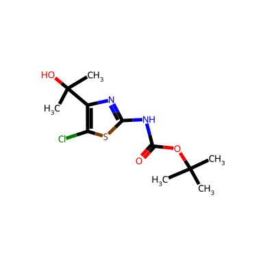 CC(C)(C)OC(=O)Nc1nc(C(C)(C)O)c(Cl)s1